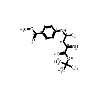 COC(=O)c1ccc(NC(C)CC(=N)C(=O)OC(C)(C)C)cc1